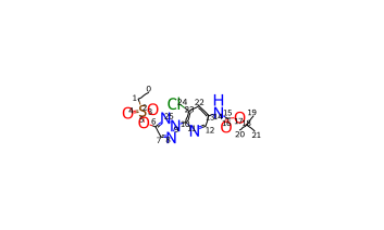 CCS(=O)(=O)Oc1cnn(-c2ncc(NC(=O)OC(C)(C)C)cc2Cl)n1